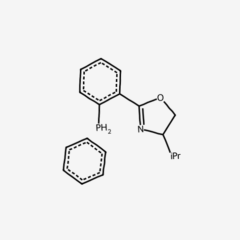 CC(C)C1COC(c2ccccc2P)=N1.c1ccccc1